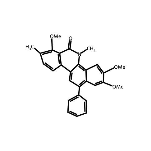 COc1cc2c(-c3ccccc3)cc3c4ccc(C)c(OC)c4c(=O)n(C)c3c2cc1OC